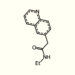 CCNC(=O)Cc1ccc2ncccc2c1